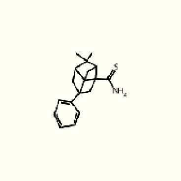 CC1(C)C2CC3(c4ccccc4)CC1C(C(N)=S)(C2)C3